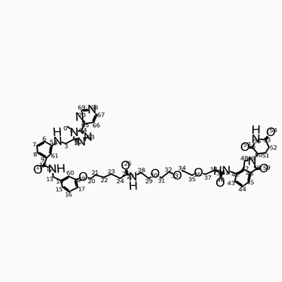 Cn1c(CNc2cccc(C(=O)NCc3cccc(OCCCCCC(=O)NCCOCCOCCOCCC(=O)Nc4cccc5c4CN(C4CCC(=O)NC4=O)C5=O)c3)c2)nnc1-c1ccncn1